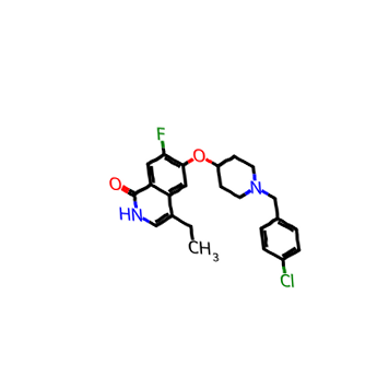 CCc1c[nH]c(=O)c2cc(F)c(OC3CCN(Cc4ccc(Cl)cc4)CC3)cc12